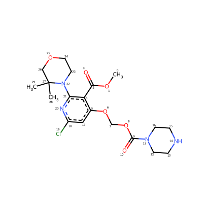 COC(=O)c1c(OCOC(=O)N2CCNCC2)cc(Cl)nc1N1CCOCC1(C)C